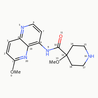 COc1ccc2nccc(NC(=O)C3(OC)CCNCC3)c2n1